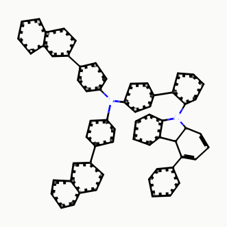 C1=CC2C(C(c3ccccc3)=C1)c1ccccc1N2c1ccccc1-c1ccc(N(c2ccc(-c3ccc4ccccc4c3)cc2)c2ccc(-c3ccc4ccccc4c3)cc2)cc1